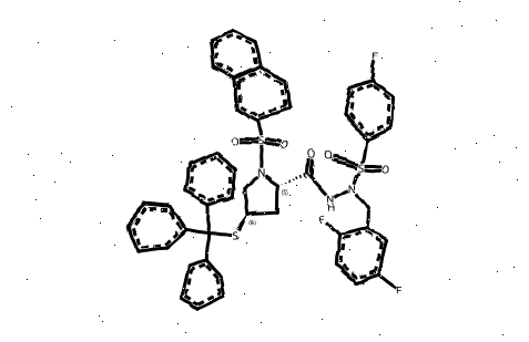 O=C(NN(Cc1cc(F)ccc1F)S(=O)(=O)c1ccc(F)cc1)[C@@H]1C[C@@H](SC(c2ccccc2)(c2ccccc2)c2ccccc2)CN1S(=O)(=O)c1ccc2ccccc2c1